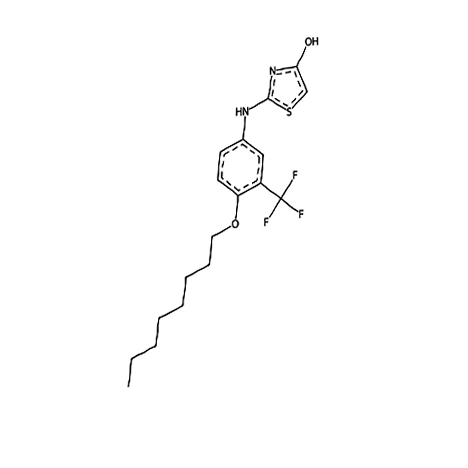 CCCCCCCCOc1ccc(Nc2nc(O)cs2)cc1C(F)(F)F